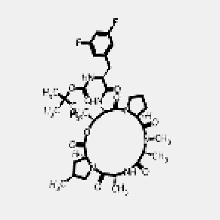 C[C@H]1C[C@H]2C(=O)O[C@@H](C)[C@H](NC(=O)[C@H](Cc3cc(F)cc(F)c3)NC(=O)OC(C)(C)C)C(=O)N3CCC[C@H]3C(=O)N(C)[C@@H](C)C(=O)N[C@@H](C)C(=O)N2C1